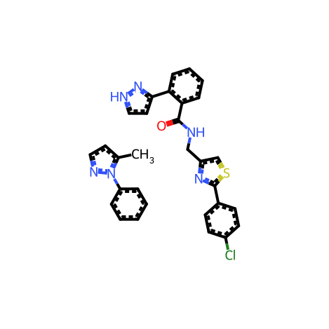 Cc1ccnn1-c1ccccc1.O=C(NCc1csc(-c2ccc(Cl)cc2)n1)c1ccccc1-c1cc[nH]n1